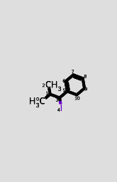 CC(C)C(I)C1=CC=CCC1